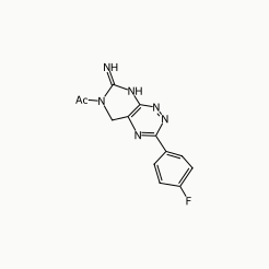 CC(=O)N1Cc2nc(-c3ccc(F)cc3)nnc2NC1=N